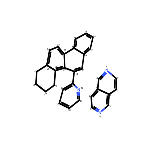 c1cc2cnccc2cn1.c1ccc(-c2cc3ccccc3c3ccc4c(c23)CCCC4)nc1